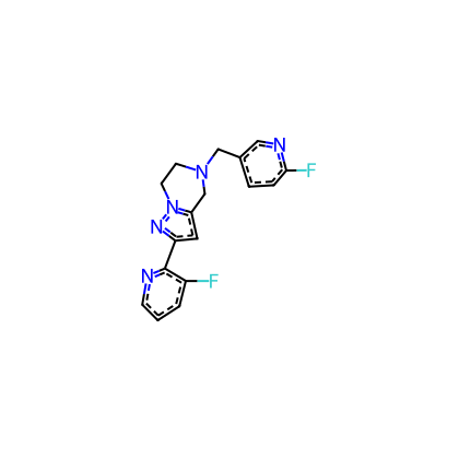 Fc1ccc(CN2CCn3nc(-c4ncccc4F)cc3C2)cn1